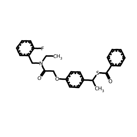 CCN(Cc1ccccc1F)C(=O)COc1ccc(C(C)SC(=O)c2ccccc2)cc1